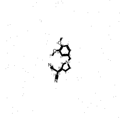 COc1ccc(CN2CCC(=C(C#N)C#N)C2)cc1OC